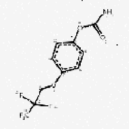 NC(=O)Oc1ccc(OCC(F)(F)C(F)(F)F)cc1